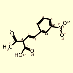 CC(=O)C(C=Cc1cccc([N+](=O)[O-])c1)C(=O)O